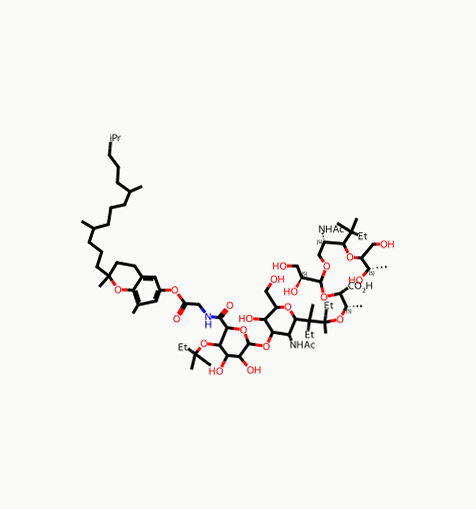 CCC(C)(C)OC1C(C(=O)NCC(=O)Oc2cc(C)c3c(c2)CCC(C)(CCCC(C)CCCC(C)CCCC(C)C)O3)OC(OC2C(O)C(CO)OC(C(C)(CC)C(C)(CC)O[C@@H](C)C(OC(OC[C@H](NC(C)=O)C(OC(CO)[C@H](C)O)C(C)(C)CC)[C@@H](O)CO)C(=O)O)C2NC(C)=O)C(O)C1O